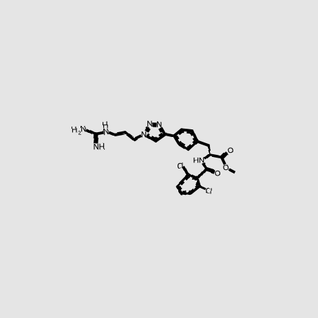 COC(=O)[C@H](Cc1ccc(-c2cn(CCCNC(=N)N)nn2)cc1)NC(=O)c1c(Cl)cccc1Cl